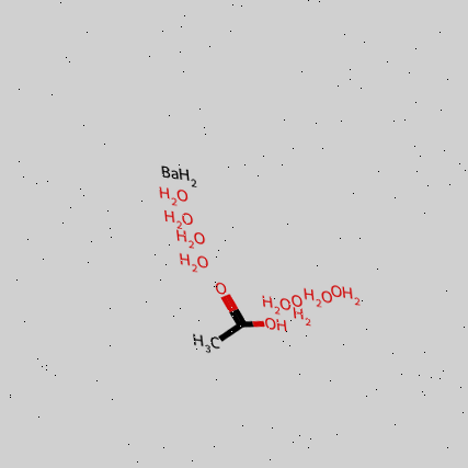 CC(=O)O.O.O.O.O.O.O.O.O.[BaH2]